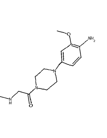 CNCC(=O)N1CCN(c2ccc(N)c(OC)c2)CC1